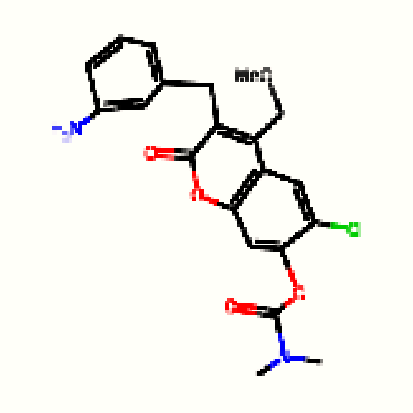 COCc1c(Cc2cccc(N)c2)c(=O)oc2cc(OC(=O)N(C)C)c(Cl)cc12